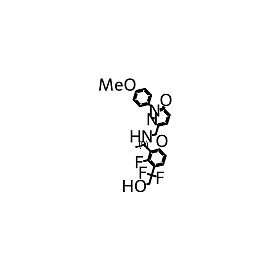 COc1ccc(-n2nc(C(=O)N[C@H](C)c3cccc(C(F)(F)CO)c3F)ccc2=O)cc1